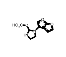 O=C(O)OC1NCCN1c1coc2occc12